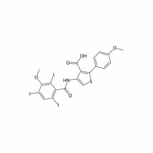 COc1ccc(-c2scc(NC(=O)c3c(I)cc(I)c(OC)c3I)c2C(=O)O)cc1